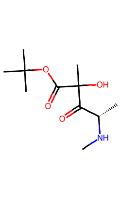 CN[C@@H](C)C(=O)C(C)(O)C(=O)OC(C)(C)C